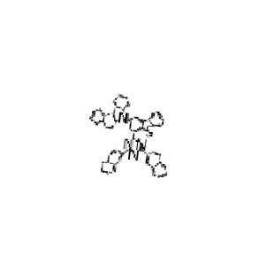 c1ccc2cc(-c3nc(-c4ccc5ccccc5c4)nc(-c4cc(-n5c6ccccc6c6c7ccccc7ccc65)cc5c4sc4ccccc45)n3)ccc2c1